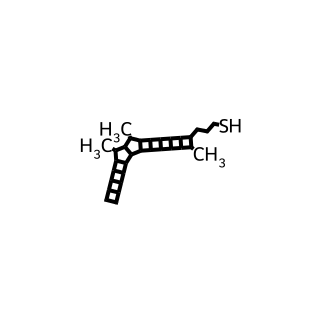 CC1C2C(C)C3C(C2C2C1C1C4C5CCC5C4C12)C1C3C2C3C4C(CCCS)C(C)C4C3C12